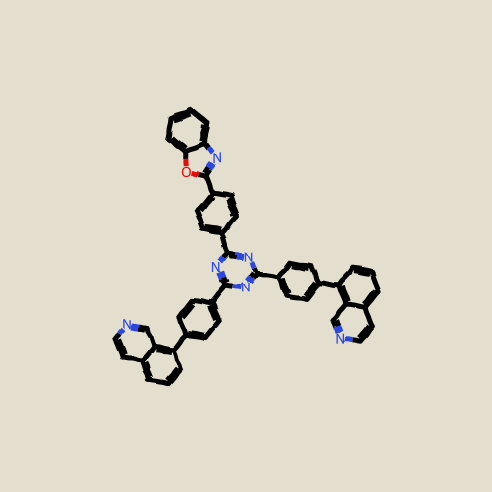 c1cc(-c2ccc(-c3nc(-c4ccc(-c5nc6ccccc6o5)cc4)nc(-c4ccc(-c5cccc6ccncc56)cc4)n3)cc2)c2cnccc2c1